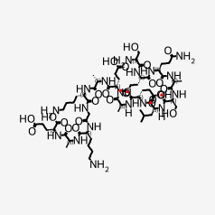 CSCC[C@H](NC(=O)[C@@H](N)CO)C(=O)N[C@@H](CCC(N)=O)C(=O)N[C@@H](C)C(=O)N[C@@H](CO)C(=O)N[C@@H](CC(C)C)C(=O)N[C@@H](CCC(=O)O)C(=O)N[C@@H](C)C(=O)N[C@@H](CCC(=O)O)C(=O)N[C@@H](C)C(=O)N[C@@H](CCCCN)C(=O)NCC(=O)N[C@@H](CCCCN)C(=O)N[C@@H](C)C(=O)N[C@@H](CCC(=O)O)C(=O)O